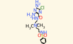 C[N+](C)(CCCNS(=O)(=O)c1ccccc1)CCNC(=O)c1nc(Cl)c(N)nc1N